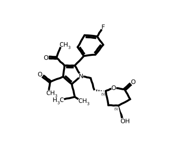 CC(=O)c1c(C(C)=O)c(C(C)C)n(CC[C@H]2C[C@H](O)CC(=O)O2)c1-c1ccc(F)cc1